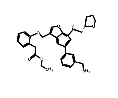 CCOC(=O)Cc1ccccc1OCc1coc2c(NC[C@@H]3CCCO3)cc(-c3cccc(CN)c3)cc12